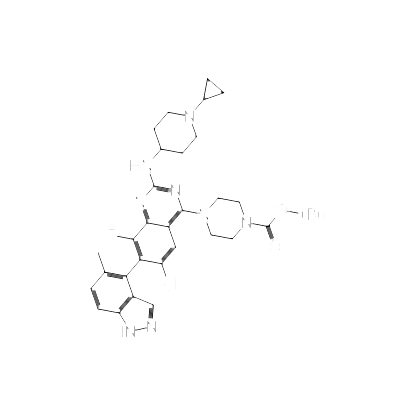 Cc1ccc2[nH]ncc2c1-c1c(Cl)cc2c(N3CCN(C(=O)OC(C)(C)C)CC3)nc(NC3CCN(C4CC4)CC3)nc2c1F